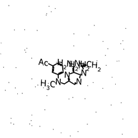 C=C(N)/N=C1/N=CC(CN(C)c2cccc(C(C)=O)c2)=NC1=C(N)N